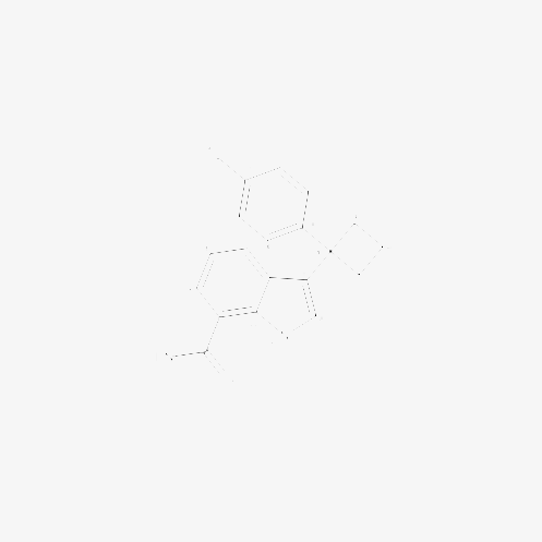 NC(=O)c1cccc2c(C3(c4ccc(I)cc4)CCC3)c[nH]c12